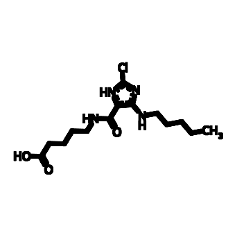 CCCCCNc1nc(Cl)[nH]c1C(=O)NCCCCC(=O)O